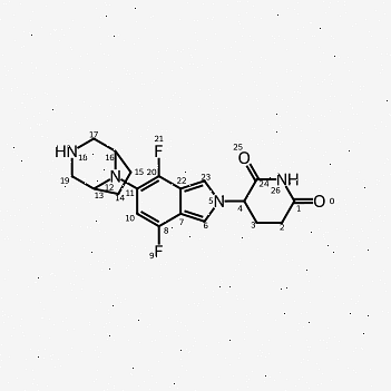 O=C1CCC(n2cc3c(F)cc(N4C5CCC4CNC5)c(F)c3c2)C(=O)N1